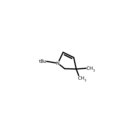 CC1(C)C=CN(C(C)(C)C)C1